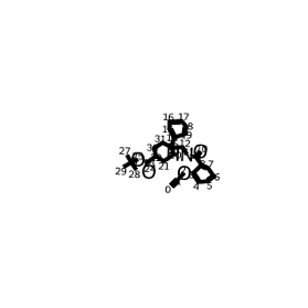 C#COc1ccccc1C(=O)NCC1(c2ccccc2)CCC(C(=O)OC(C)(C)C)CC1